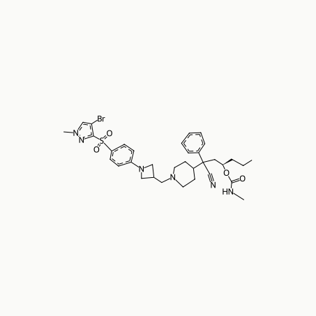 CCC[C@H](CC(C#N)(c1ccccc1)C1CCN(CC2CN(c3ccc(S(=O)(=O)c4nn(C)cc4Br)cc3)C2)CC1)OC(=O)NC